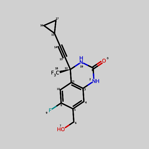 O=C1Nc2cc(CO)c(F)cc2[C@@](C#CC2CC2)(C(F)(F)F)N1